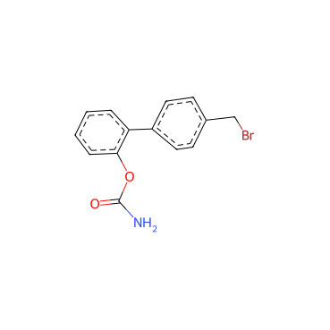 NC(=O)Oc1ccccc1-c1ccc(CBr)cc1